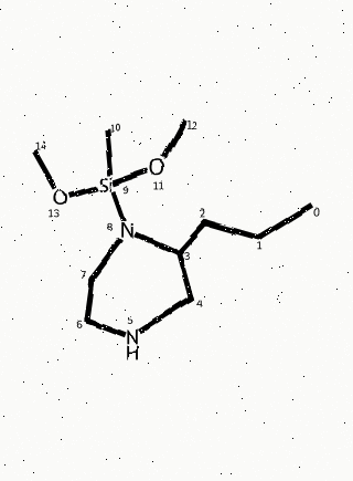 CCCC1CNCCN1[Si](C)(OC)OC